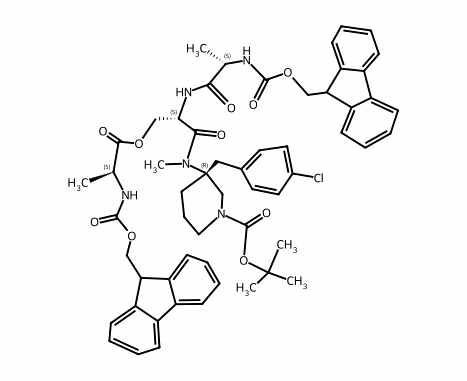 C[C@H](NC(=O)OCC1c2ccccc2-c2ccccc21)C(=O)N[C@@H](COC(=O)[C@H](C)NC(=O)OCC1c2ccccc2-c2ccccc21)C(=O)N(C)[C@@]1(Cc2ccc(Cl)cc2)CCCN(C(=O)OC(C)(C)C)C1